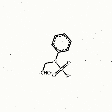 CCS(=O)(=O)N(C[C]=O)c1ccccc1